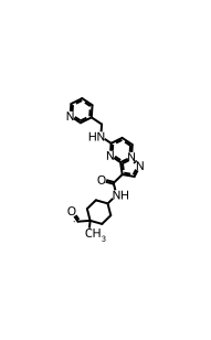 CC1([C]=O)CCC(NC(=O)c2cnn3ccc(NCc4cccnc4)nc23)CC1